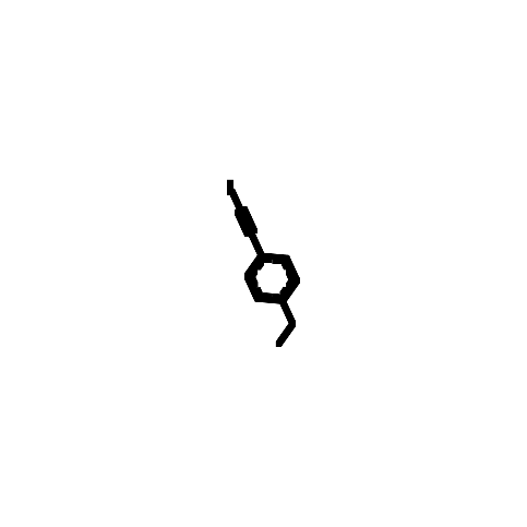 CCc1ccc(C#CI)cc1